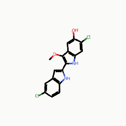 COc1c(-c2cc3cc(Cl)ccc3[nH]2)[nH]c2cc(Cl)c(O)cc12